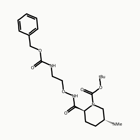 CN[C@@H]1CC[C@@H](C(=O)NOCCNC(=O)OCc2ccccc2)N(C(=O)OC(C)(C)C)C1